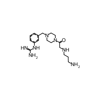 N=C(N)Nc1cccc(CN2CCN(C(=O)CNCCCN)CC2)c1